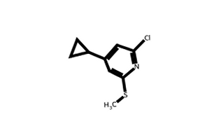 CSc1cc(C2CC2)cc(Cl)n1